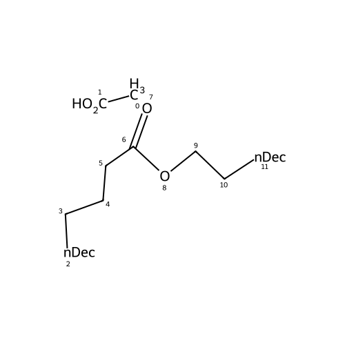 CC(=O)O.CCCCCCCCCCCCCC(=O)OCCCCCCCCCCCC